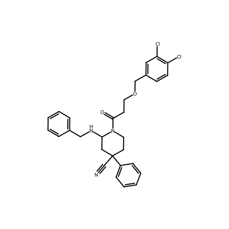 N#CC1(c2ccccc2)CCN(C(=O)CCOCc2ccc(Cl)c(Cl)c2)C(NCc2ccccc2)C1